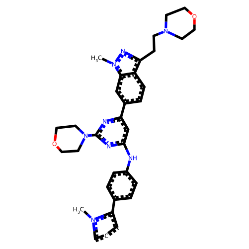 Cn1cccc1-c1ccc(Nc2cc(-c3ccc4c(CCN5CCOCC5)nn(C)c4c3)nc(N3CCOCC3)n2)cc1